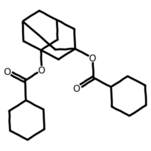 O=C(OC12CC3CC(C1)CC(OC(=O)C1CCCCC1)(C3)C2)C1CCCCC1